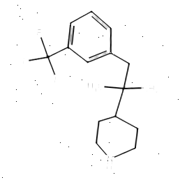 CC(C)(Cc1cccc(C(F)(F)F)c1)C1CCNCC1